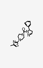 Cc1csc(N2CCN(C(=O)N3N=CCC3c3ccccc3)CC2)n1